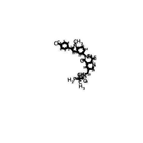 Cn1c(-c2ccc(Cl)cc2)cc2cc(NC(=O)c3cc(CNC(=O)C(C)(C)P)cnc3C(F)F)ccc21